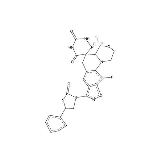 C[C@@H]1OCCN2c3c(cc4c(N5CC(c6ccccc6)SC5=O)noc4c3F)CC3(C(=O)NC(=O)NC3=O)C12